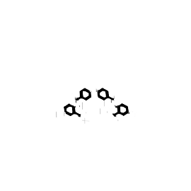 O=C(Nc1ccc(O)cc1C(=O)O)c1ccc(Oc2ccc(C(=O)Nc3ccc(O)cc3C(=O)O)cc2)cc1